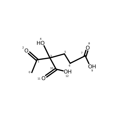 CC(=O)C(O)(CCC(=O)O)C(=O)O